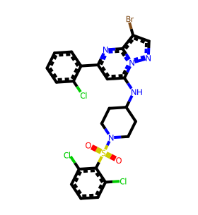 O=S(=O)(c1c(Cl)cccc1Cl)N1CCC(Nc2cc(-c3ccccc3Cl)nc3c(Br)cnn23)CC1